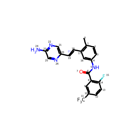 Cc1ccc(NC(=O)c2cc(C(F)(F)F)ccc2F)cc1/C=C/c1cnc(N)cn1